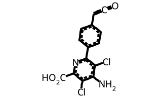 Nc1c(Cl)c(C(=O)O)nc(-c2ccc(C=C=O)cc2)c1Cl